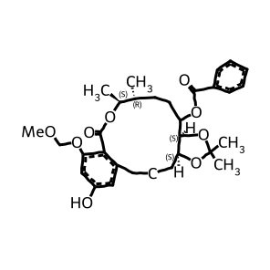 COCOc1cc(O)cc2c1C(=O)O[C@@H](C)[C@H](C)CCC(OC(=O)c1ccccc1)[C@H]1OC(C)(C)O[C@H]1CCC2